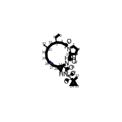 CC[C@H]1CC(=O)N2CCC[C@H]2C(=O)N[C@]2(C(=O)NS(=O)(=O)C3(C)CC3)CC2/C=C\CC[C@@H](C)C1